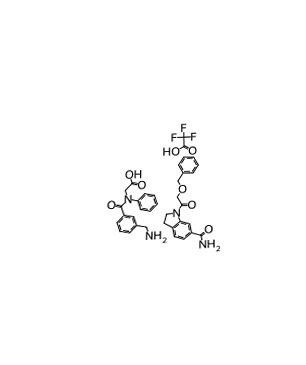 NC(=O)c1ccc2c(c1)N(C(=O)COCc1ccccc1)CC2.NCc1cccc(C(=O)N(CC(=O)O)c2ccccc2)c1.O=C(O)C(F)(F)F